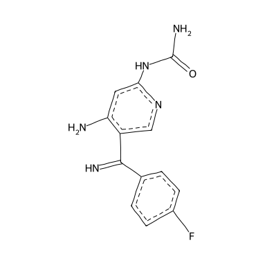 N=C(c1ccc(F)cc1)c1cnc(NC(N)=O)cc1N